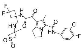 Cc1c(C(=O)C(=O)NC2(CNC3(C)CS(=O)(=O)C3)CC(F)(F)C2)c2n(c1C(=O)Nc1ccc(F)c(Cl)c1)CCC2